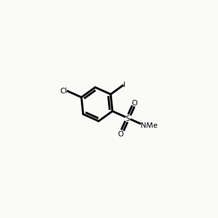 CNS(=O)(=O)c1ccc(Cl)cc1I